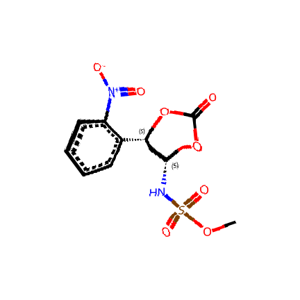 COS(=O)(=O)N[C@H]1OC(=O)O[C@H]1c1ccccc1[N+](=O)[O-]